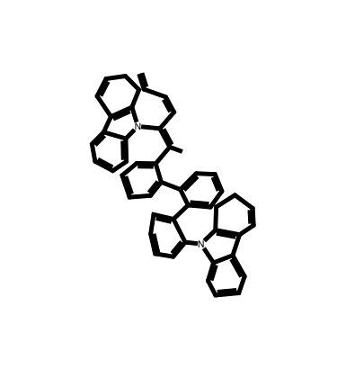 C=C/C=C\C(=C(/C)c1ccccc1-c1ccccc1-c1ccccc1-n1c2c(c3ccccc31)C=CCC2)n1c2c(c3ccccc31)C=CCC2